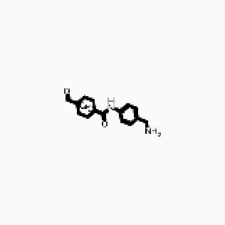 NCc1ccc(NC(=O)C23CCC(C=O)(CC2)CC3)cc1